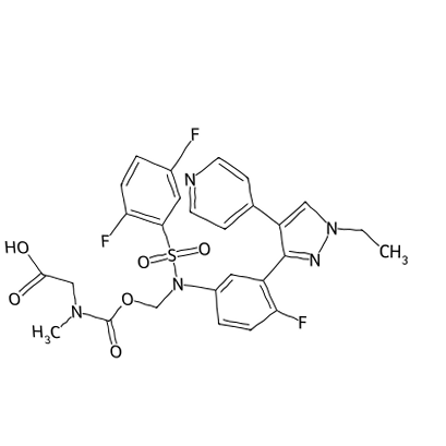 CCn1cc(-c2ccncc2)c(-c2cc(N(COC(=O)N(C)CC(=O)O)S(=O)(=O)c3cc(F)ccc3F)ccc2F)n1